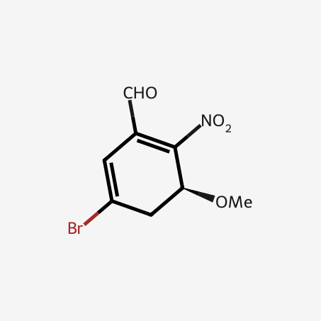 CO[C@H]1CC(Br)=CC(C=O)=C1[N+](=O)[O-]